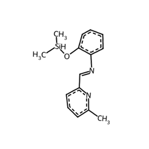 Cc1cccc(C=Nc2ccccc2O[SiH](C)C)n1